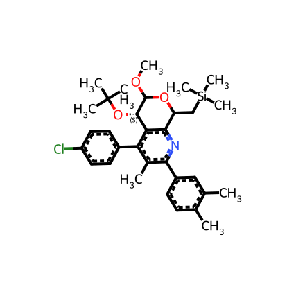 COC1OC(C[Si](C)(C)C)c2nc(-c3ccc(C)c(C)c3)c(C)c(-c3ccc(Cl)cc3)c2[C@@H]1OC(C)(C)C